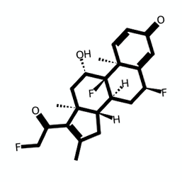 CC1=C(C(=O)CF)[C@@]2(C)C[C@H](O)[C@@]3(F)[C@@H](C[C@H](F)C4=CC(=O)C=C[C@@]43C)[C@@H]2C1